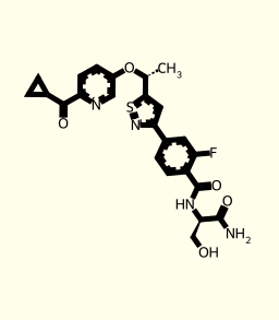 C[C@@H](Oc1ccc(C(=O)C2CC2)nc1)c1cc(-c2ccc(C(=O)N[C@H](CO)C(N)=O)c(F)c2)ns1